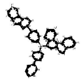 c1ccc(-c2ccc(N(c3ccc(-c4ccc5c(c4)sc4ccncc45)cc3)c3cc4ccc5ccccc5c4c4ccccc34)cc2)cc1